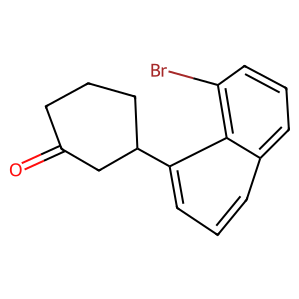 O=C1CCCC(c2cccc3cccc(Br)c23)C1